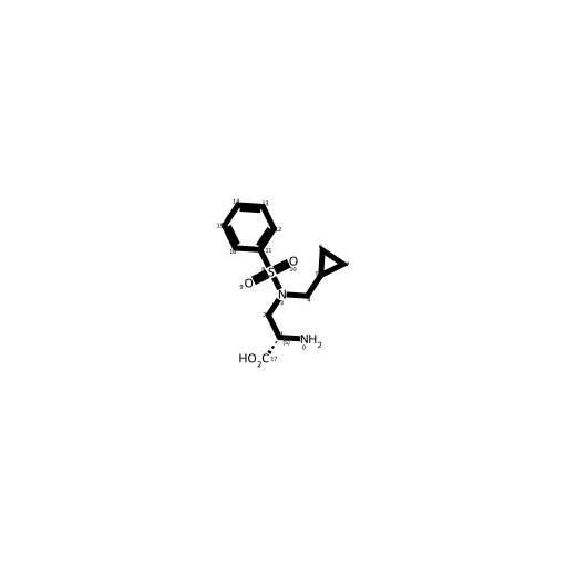 N[C@@H](CN(CC1CC1)S(=O)(=O)c1ccccc1)C(=O)O